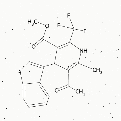 COC(=O)C1=C(C(F)(F)F)NC(C)=C(C(C)=O)C1c1csc2ccccc12